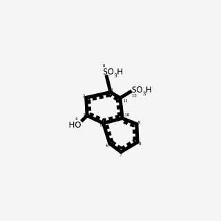 O=S(=O)(O)c1cc(O)c2ccccc2c1S(=O)(=O)O